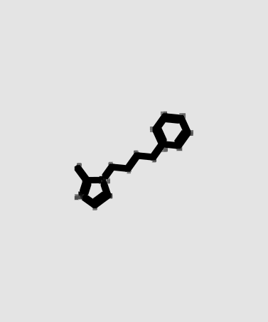 Cc1nccn1CCCCc1[c]cccc1